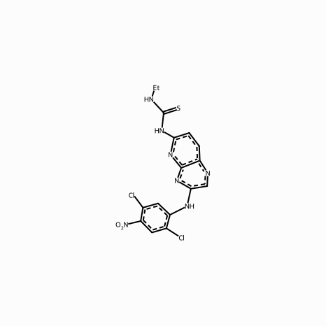 CCNC(=S)Nc1ccc2ncc(Nc3cc(Cl)c([N+](=O)[O-])cc3Cl)nc2n1